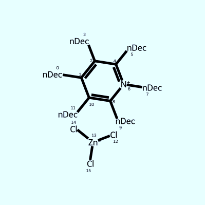 CCCCCCCCCCc1c(CCCCCCCCCC)c(CCCCCCCCCC)[n+](CCCCCCCCCC)c(CCCCCCCCCC)c1CCCCCCCCCC.[Cl][Zn-]([Cl])[Cl]